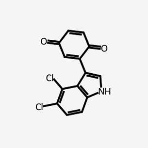 O=C1C=CC(=O)C(c2c[nH]c3ccc(Cl)c(Cl)c23)=C1